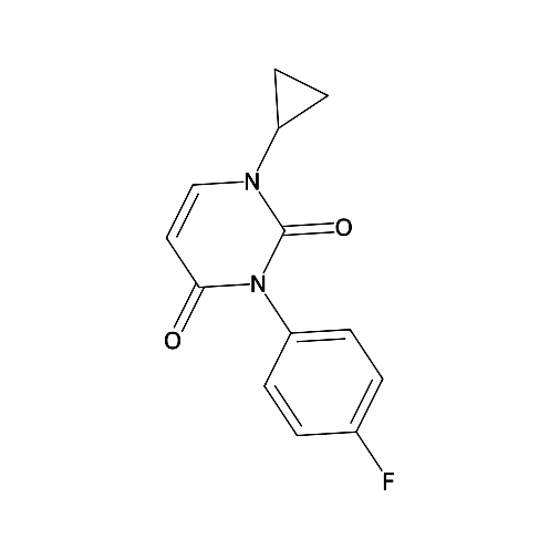 O=c1ccn(C2CC2)c(=O)n1-c1ccc(F)cc1